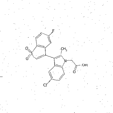 Cc1c(C2=CS(=O)(=O)c3ccc(F)cc32)c2cc(Cl)ccc2n1CC(=O)O